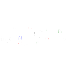 CCON=C(C(=O)O)c1ccccc1COc1cc(Cl)c(OCC=C(Br)Br)c(Cl)c1